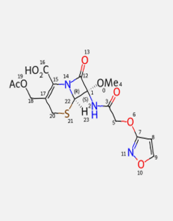 CO[C@@]1(NC(=O)COc2ccon2)C(=O)N2C(C(=O)O)=C(COC(C)=O)CS[C@@H]21